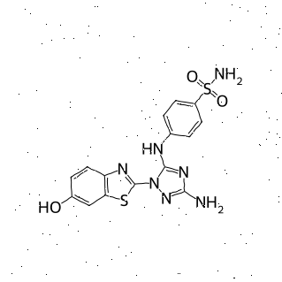 Nc1nc(Nc2ccc(S(N)(=O)=O)cc2)n(-c2nc3ccc(O)cc3s2)n1